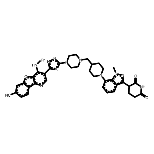 CC(C)Nc1c(-c2nnc(N3CCN(CC4CCN(c5cccc6c(C7CCC(=O)NC7=O)nn(C)c56)CC4)CC3)s2)cnc2c1oc1cc(C#N)ccc12